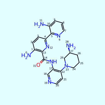 Nc1ccc(-c2ncccc2N)nc1C(=O)Nc1cnccc1N1CCC[C@H](N)C1